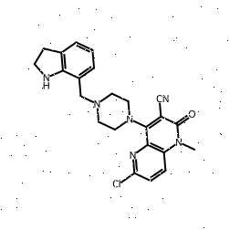 Cn1c(=O)c(C#N)c(N2CCN(Cc3cccc4c3NCC4)CC2)c2nc(Cl)ccc21